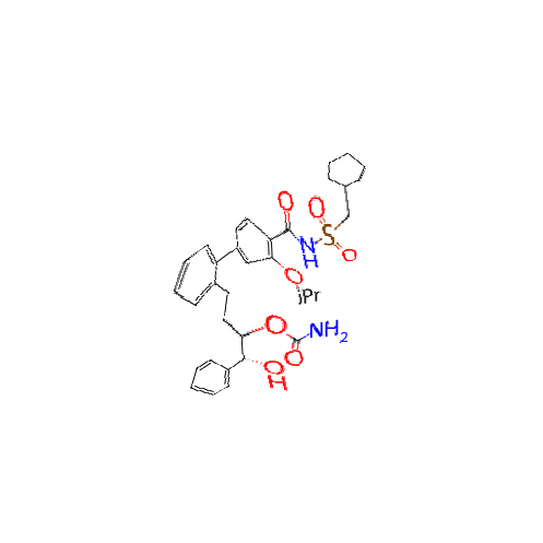 CC(C)Oc1cc(-c2ccccc2CCC(OC(N)=O)[C@H](O)c2ccccc2)ccc1C(=O)NS(=O)(=O)CC1CCCCC1